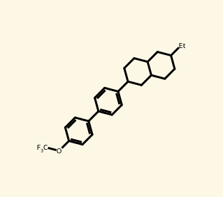 CCC1CCC2CC(c3ccc(-c4ccc(OC(F)(F)F)cc4)cc3)CCC2C1